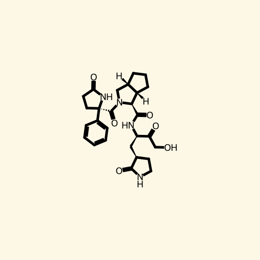 O=C1CC[C@](C(=O)N2C[C@@H]3CCC[C@@H]3[C@H]2C(=O)N[C@H](C[C@H]2CCNC2=O)C(=O)CO)(c2ccccc2)N1